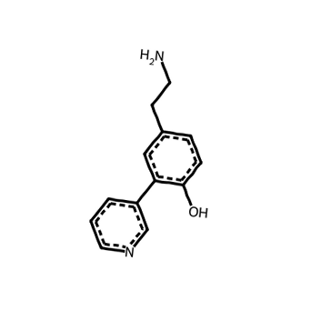 NCCc1ccc(O)c(-c2cccnc2)c1